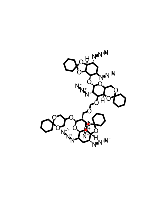 C[C@@H]1OC2(CCCCC2)OCC1O[C@H](O[C@@H]1C(N=[N+]=[N-])C[C@@H](N=[N+]=[N-])[C@H]2OC3(CCCCC3)OC12)[C@@H](COCOC1[C@@H]2OC3(CCCCC3)OCC2O[C@H](O[C@@H]2C(N=[N+]=[N-])C[C@@H](N=[N+]=[N-])[C@H]3OC4(CCCCC4)OC23)[C@H]1N=[N+]=[N-])N=[N+]=[N-]